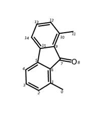 Cc1cccc2c1C(=O)c1c(C)cccc1-2